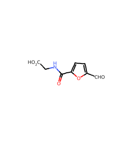 O=Cc1ccc(C(=O)NCC(=O)O)o1